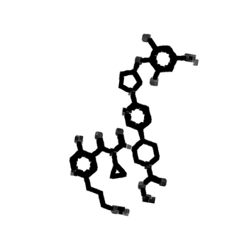 COCCCc1cc(C(=O)N(C(=O)[C@H]2CN(C(=O)OC(C)(C)C)CC[C@@H]2c2ccc(N3CC[C@@H](Oc4c(Cl)cc(C)cc4Cl)C3)nc2)C2CC2)c(Cl)cn1